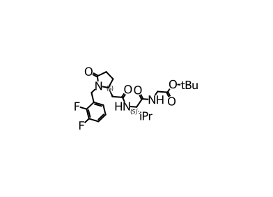 CC(C)[C@H](NC(=O)C[C@@H]1CCC(=O)N1Cc1cccc(F)c1F)C(=O)NCC(=O)OC(C)(C)C